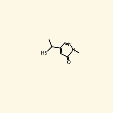 CC(S)c1cnn(C)c(=O)c1